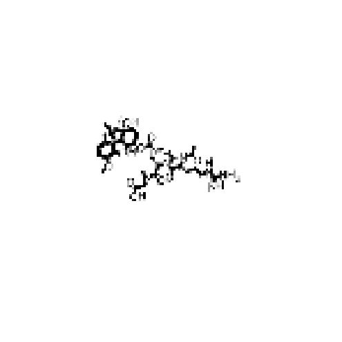 COc1ccc(C)c2c1O[C@H]1C(OC(=O)N(C)C[C@H](NC(=O)[C@H](CCCNC(=N)N)NC(C)=O)C(=O)N(C)CC(=O)O)=CC[C@@]3(O)[C@@H](C)N(C)CC[C@]213